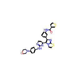 O=C(Nc1cccc(-c2nc3sccn3c2-c2ccnc(Nc3ccc(N4CCOCC4)cc3)n2)c1)c1ccsc1